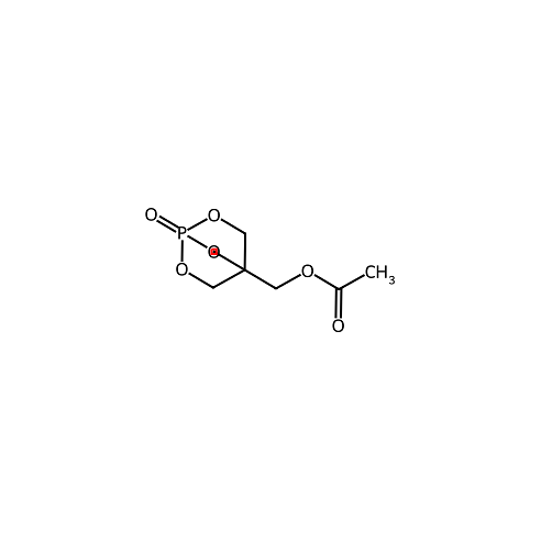 CC(=O)OCC12COP(=O)(OC1)OC2